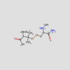 CC(=O)NC(C(=O)C(C)C)C(C)(C)SSCC(NC(C)C)C(N)=O